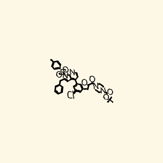 Cc1ccc(S(=O)(=O)n2c(Cc3ccccc3)cc3c(-c4cc(Cl)cc5c4OC(C(=O)N4CCN(C(=O)OC(C)(C)C)CC4)C5)ccnc32)cc1